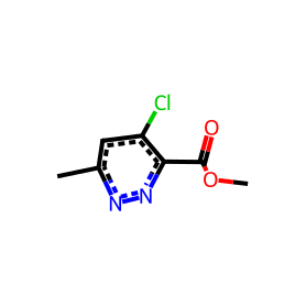 COC(=O)c1nnc(C)cc1Cl